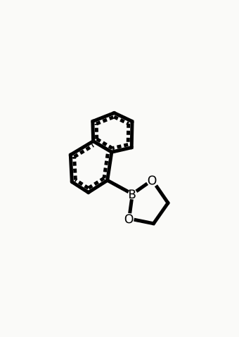 c1ccc2c(B3OCCO3)cccc2c1